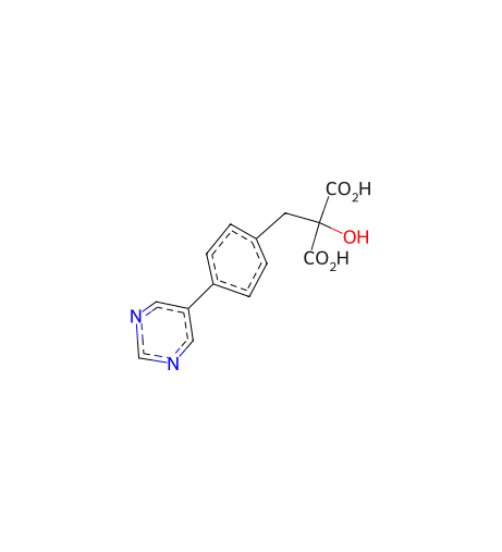 O=C(O)C(O)(Cc1ccc(-c2cncnc2)cc1)C(=O)O